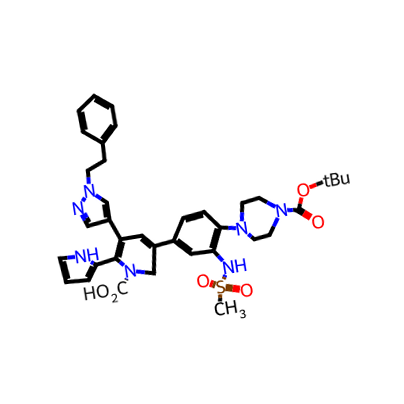 CC(C)(C)OC(=O)N1CCN(c2ccc(C3=CC(c4cnn(CCc5ccccc5)c4)=C(c4ccc[nH]4)N(C(=O)O)C3)cc2NS(C)(=O)=O)CC1